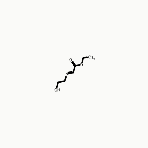 CCOC(=O)/C=N/CCO